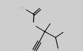 C#CC(C)(OC(N)=O)C(F)F